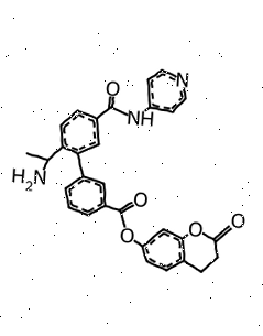 CC(N)c1ccc(C(=O)Nc2ccncc2)cc1-c1cccc(C(=O)Oc2ccc3c(c2)OC(=O)CC3)c1